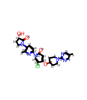 Cc1cnc(N2CCC(Oc3cc(=O)n(-c4ccc(N5CC[C@H](O)C5=O)c(C)n4)cc3Cl)CC2)nc1